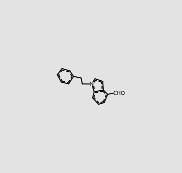 O=Cc1cccc2c1ccn2CCc1ccccc1